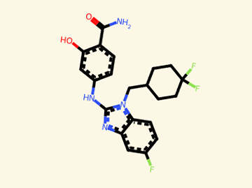 NC(=O)c1ccc(Nc2nc3cc(F)ccc3n2CC2CCC(F)(F)CC2)cc1O